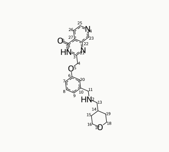 O=c1[nH]c(COc2cccc(CNCC3CCOCC3)c2)nc2cnccc12